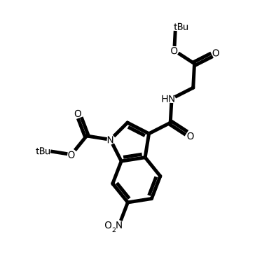 CC(C)(C)OC(=O)CNC(=O)c1cn(C(=O)OC(C)(C)C)c2cc([N+](=O)[O-])ccc12